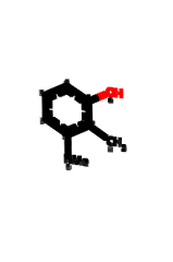 CNc1cccc(O)c1C